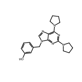 Oc1cccc(Cn2cnc3c(N4CCCC4)nc(N4CCCC4)nc32)c1